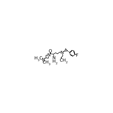 C=CCN(CCC[C@@H](N)C(=O)N1CC(N(C)C)C1)C1C[C@H]1c1ccc(F)cc1